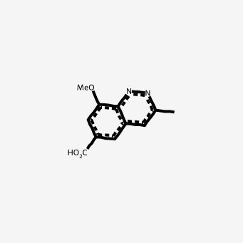 COc1cc(C(=O)O)cc2cc(C)nnc12